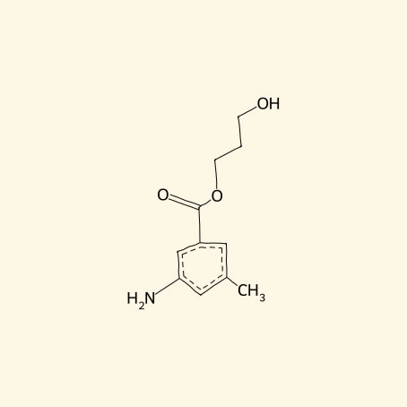 Cc1cc(N)cc(C(=O)OCCCO)c1